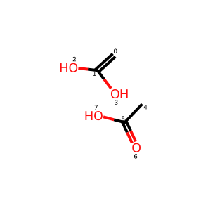 C=C(O)O.CC(=O)O